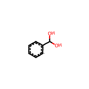 OC(O)c1[c]cccc1